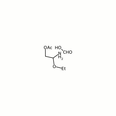 CCOC(N)COC(C)=O.O=CO